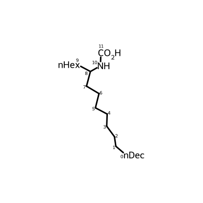 CCCCCCCCCCCCCCCCCC(CCCCCC)NC(=O)O